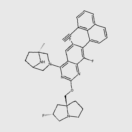 C#Cc1cccc2cccc(-c3c(F)cc4c(N5CC6CC[C@@](C)(C5)N6)nc(OC[C@@]56CCCN5C[C@H](F)C6)nc4c3F)c12